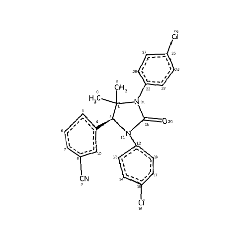 CC1(C)[C@H](c2cccc(C#N)c2)N(c2ccc(Cl)cc2)C(=O)N1c1ccc(Cl)cc1